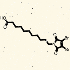 O=C(O)CCCCCCCCCCN1C(=O)C(Br)=C(Br)C1=O